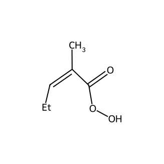 CCC=C(C)C(=O)OO